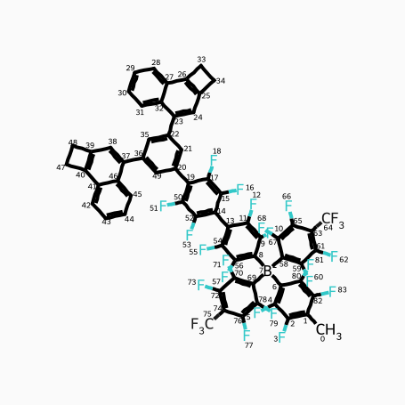 Cc1c(F)c(F)c([B-](c2c(F)c(F)c(-c3c(F)c(F)c(-c4cc(-c5cc6c(c7ccccc57)CC6)cc(-c5cc6c(c7ccccc57)CC6)c4)c(F)c3F)c(F)c2F)(c2c(F)c(F)c(C(F)(F)F)c(F)c2F)c2c(F)c(F)c(C(F)(F)F)c(F)c2F)c(F)c1F